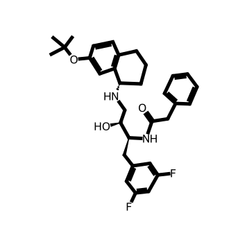 CC(C)(C)Oc1ccc2c(c1)[C@@H](NC[C@H](O)[C@H](Cc1cc(F)cc(F)c1)NC(=O)Cc1ccccc1)CCC2